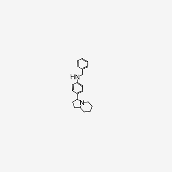 c1ccc(CNc2ccc(C3CCC4CCCCN43)cc2)cc1